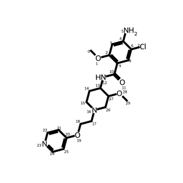 COc1cc(N)c(Cl)cc1C(=O)NC1CCN(CCOc2ccncc2)CC1OC